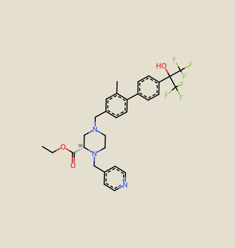 CCOC(=O)[C@@H]1CN(Cc2ccc(-c3ccc(C(O)(C(F)(F)F)C(F)(F)F)cc3)c(C)c2)CCN1Cc1ccncc1